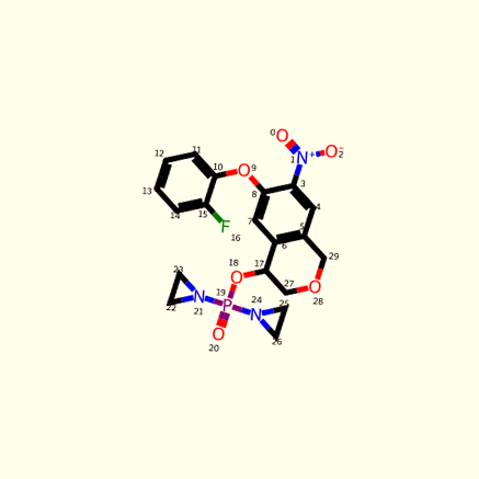 O=[N+]([O-])c1cc2c(cc1Oc1ccccc1F)C(OP(=O)(N1CC1)N1CC1)COC2